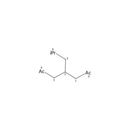 CC(=O)CC(CC(C)=O)CC(C)C